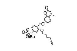 C#CCCCCOc1cc(OS(=O)(=O)OCC(C)C)ccc1COc1ccc2c(C)cc(=O)oc2c1